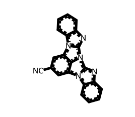 N#Cc1cc2c3c(c1)n1c4ccccc4nc1n3c1nc3ccccc3n21